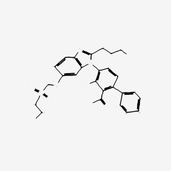 CCCCc1nc2ccc(NCS(=O)(=O)CCC)cc2n1-c1ccc(-c2ccccc2)c(C(=O)O)c1C